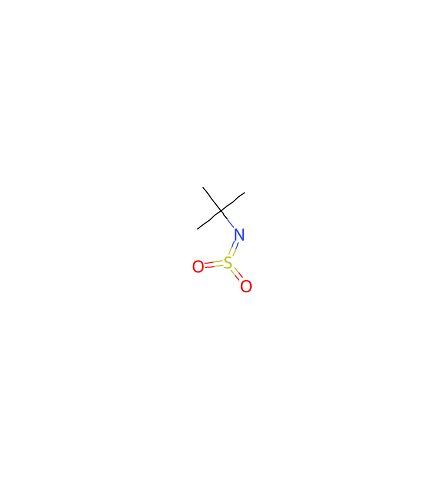 CC(C)(C)N=S(=O)=O